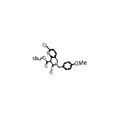 COc1ccc(CN2Cc3ccc(Cl)nc3C(C(=O)OC(C)(C)C)C2=C=O)cc1